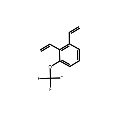 C=Cc1cccc(OC(F)(F)F)c1C=C